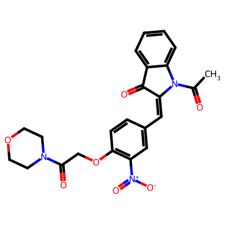 CC(=O)N1C(=Cc2ccc(OCC(=O)N3CCOCC3)c([N+](=O)[O-])c2)C(=O)c2ccccc21